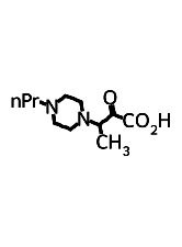 CCCN1CCN(C(C)C(=O)C(=O)O)CC1